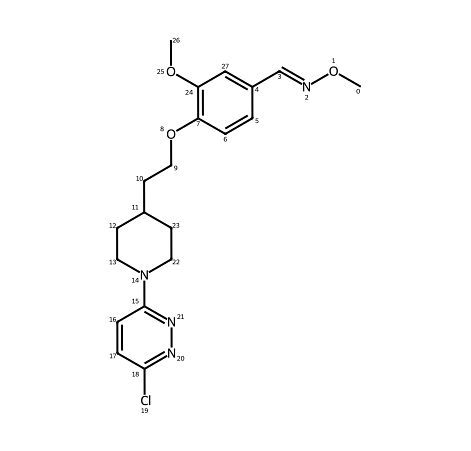 CON=Cc1ccc(OCCC2CCN(c3ccc(Cl)nn3)CC2)c(OC)c1